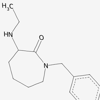 CCNC1CCCCN(Cc2ccccc2)C1=O